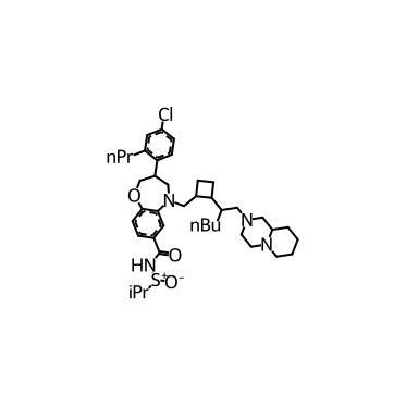 CCCCC(CN1CCN2CCCCC2C1)C1CCC1CN1CC(c2ccc(Cl)cc2CCC)COc2ccc(C(=O)N[S+]([O-])C(C)C)cc21